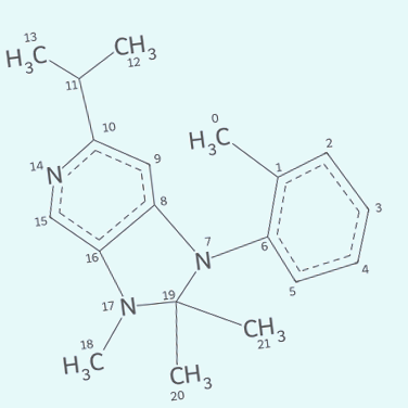 Cc1ccccc1N1c2cc(C(C)C)ncc2N(C)C1(C)C